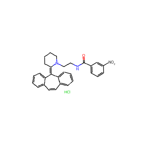 Cl.O=C(NCCN1CCCCC1=C1c2ccccc2C=Cc2ccccc21)c1cccc([N+](=O)[O-])c1